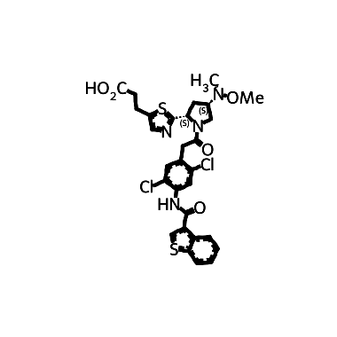 CON(C)[C@H]1C[C@@H](c2ncc(CCC(=O)O)s2)N(C(=O)Cc2cc(Cl)c(NC(=O)c3csc4ccccc34)cc2Cl)C1